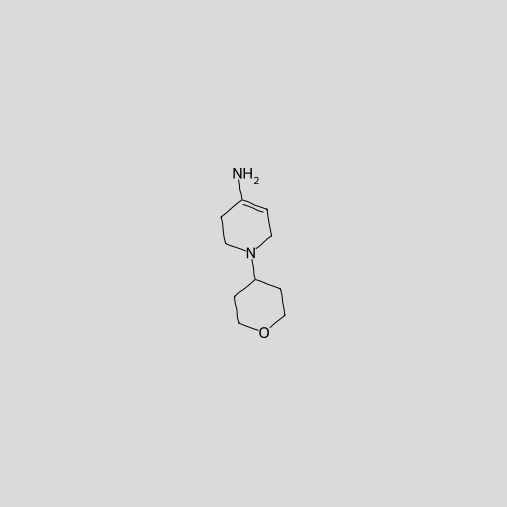 NC1=CCN(C2CCOCC2)CC1